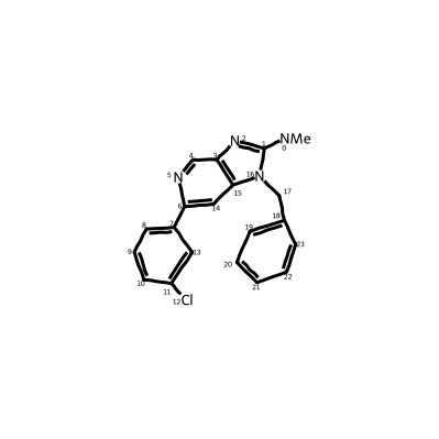 CNc1nc2cnc(-c3cccc(Cl)c3)cc2n1Cc1ccccc1